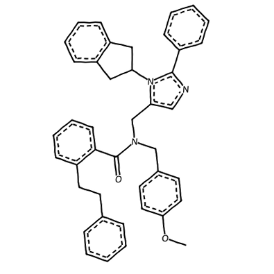 COc1ccc(CN(Cc2cnc(-c3ccccc3)n2C2Cc3ccccc3C2)C(=O)c2ccccc2CCc2ccccc2)cc1